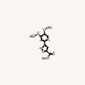 CCCCOc1cnc(-c2cc(C(=O)OC)on2)cc1OCCCC